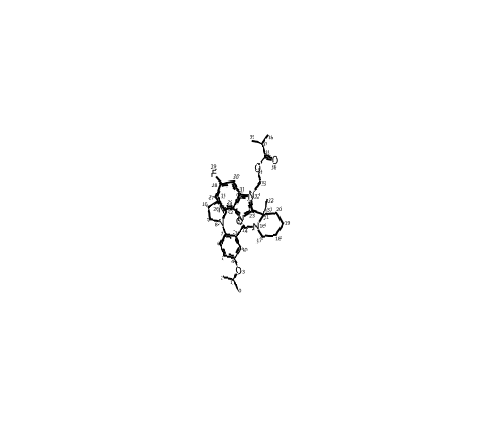 CC(C)Oc1ccc(N2CCCC2)c(C(=O)N2CCCC[C@@]2(C)c2nc3ncc(F)cc3n2COC(=O)C(C)C)c1